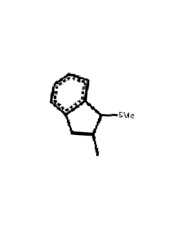 CSC1c2ccccc2CC1C